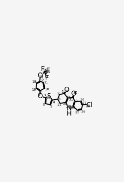 O=C1CC(c2ccc(Oc3ccc(OC(F)(F)F)cc3)s2)Cc2[nH]c3ccc(Cl)cc3c(=O)c21